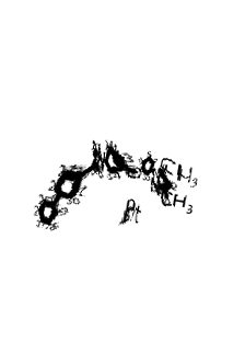 Cc1cc(C)n(-c2cccc(Oc3cccc(-n4cc(-c5ccc(-c6ccccc6)cc5)cn4)c3)c2)n1.[Pt]